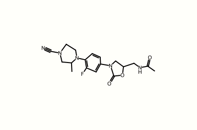 CC(=O)NCC1CN(c2ccc(N3CCN(C#N)CC3C)c(F)c2)C(=O)O1